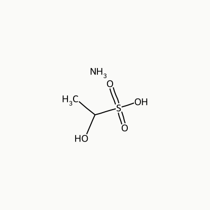 CC(O)S(=O)(=O)O.N